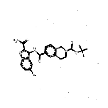 CC(C)(C)OC(=O)N1CCc2cc(C(=O)Nc3c(C(N)=O)oc4ccc(Br)cc34)ccc2C1